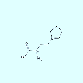 N[C@@H](CC[N+]1=CCCC1)C(=O)O